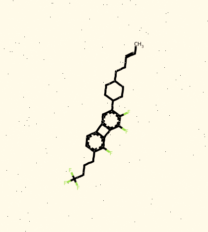 C/C=C/CCC1CCC(c2cc3c(c(F)c2F)-c2c-3ccc(CCCC(F)(F)F)c2F)CC1